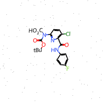 CC(C)(C)OC(=O)N(C(=O)O)c1ccc(Cl)c(C(=O)Nc2ccc(F)cc2)n1